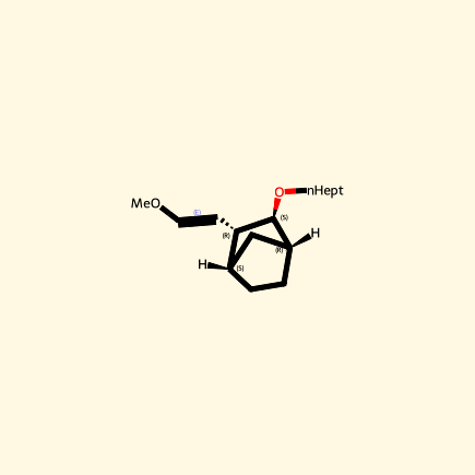 CCCCCCCO[C@H]1[C@@H]2CC[C@@H](C2)[C@@H]1/C=C/OC